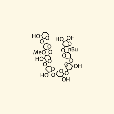 CCCC[C@@H]1C[C@H](O[C@H]2OC[C@@H](O[C@H]3OC[C@@H](O[C@H]4OC[C@@H](O[C@H]5OC[C@@H](O[C@H]6OC[C@@H](O[C@H]7OCCC[C@H]7O)C[C@H]6OC)C[C@H]5O)C[C@H]4O)C[C@H]3O)C[C@H]2O)CO[C@@H]1O[C@@H]1CO[C@H](O)[C@H](O)C1